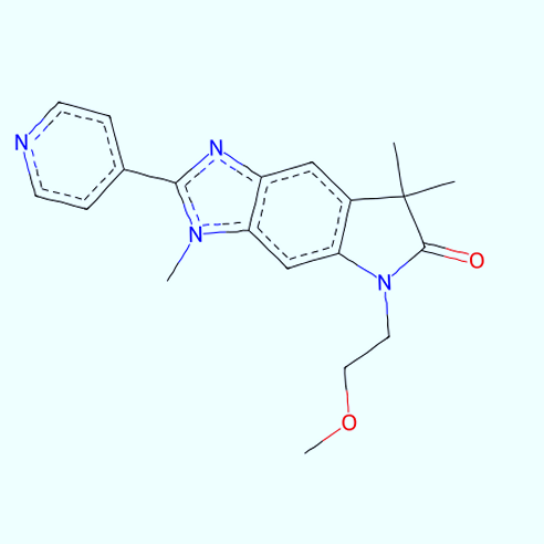 COCCN1C(=O)C(C)(C)c2cc3nc(-c4ccncc4)n(C)c3cc21